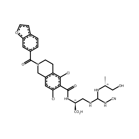 C[C@H](CO)NC(NC#N)NC[C@H](NC(=O)c1c(Cl)cc2c(c1Cl)CCN(C(=O)c1ccc3ccoc3c1)C2)C(=O)O